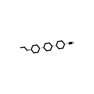 CCC[C@H]1CC[C@H](C2CCC([C@H]3CC[C@@H](C#N)CC3)CC2)CC1